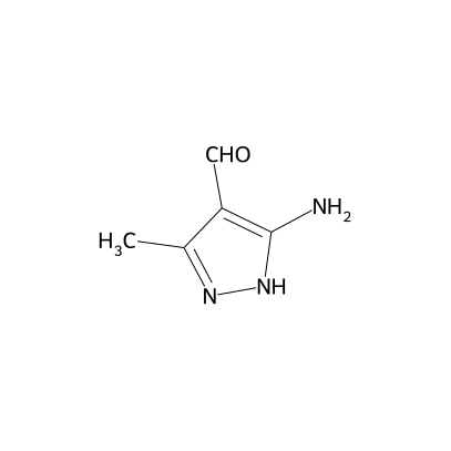 Cc1n[nH]c(N)c1C=O